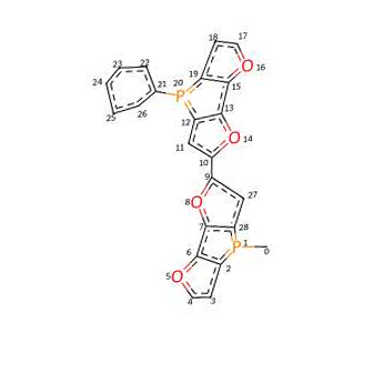 Cp1c2ccoc2c2oc(-c3cc4c(o3)c3occc3p4-c3ccccc3)cc21